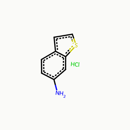 Cl.Nc1ccc2ccsc2c1